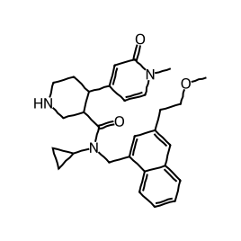 COCCc1cc(CN(C(=O)C2CNCCC2c2ccn(C)c(=O)c2)C2CC2)c2ccccc2c1